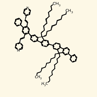 CCCCCCCCCCC1(CCCCCCCCCC)c2cc(-c3ccccc3)ccc2-c2ccc(-c3ccc4c(c3)C(CCCCCCCCCC)(CCCCCCCCCC)c3cc(-c5cc(/C=C/c6ccncc6)c(-c6ccccc6)cc5/C=C/c5ccncc5)ccc3-4)cc21